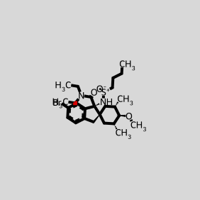 CCCC[S@+]([O-])N[C@@]1(C(=O)N(CC)CC)c2cc(Br)ccc2C[C@@]12C[C@@H](C)[C@H](OC)[C@@H](C)C2